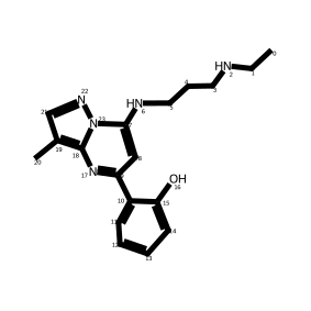 CCNCCCNc1cc(-c2ccccc2O)nc2c(C)cnn12